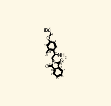 CC[C@H](C)COc1ccc([C@@H](N)CN2C(=O)c3ccccc3C2=O)c(C)c1